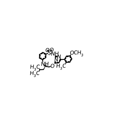 COc1ccc(C)c(-c2cc3nc(n2)NS(=O)(=O)c2cccc(c2)N[C@H](CC(C)C)CO3)c1